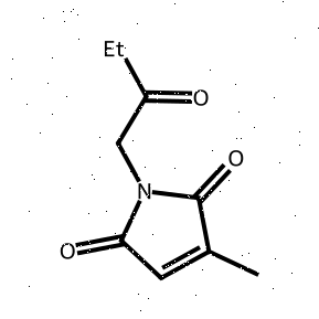 CCC(=O)CN1C(=O)C=C(C)C1=O